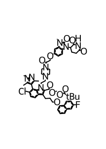 Cc1nn(C)c(C)c1-c1c(Cl)ccc2c(CCCOc3cccc4cc(F)ccc34)c(C(=O)OCOC(=O)C(C)(C)C)n(CCN3CCN(C(=O)COc4ccc5c(c4)n(C)c(=O)n5C4CCC(=O)NC4=O)CC3)c12